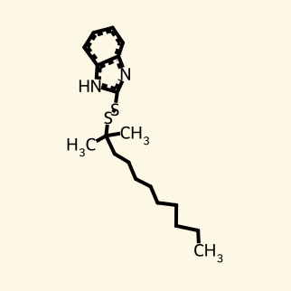 CCCCCCCCCC(C)(C)SSc1nc2ccccc2[nH]1